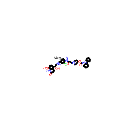 COc1cc(NC(=O)CCN2CCC(OC(=O)Nc3ccccc3-c3ccccc3)CC2)c(Cl)cc1CNC[C@@H](O)c1ccc(O)c2[nH]c(=O)ccc12